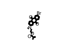 C=C(C)C(=O)OCCN(C)c1ccc2c(c1)C(=O)c1ccc(Br)cc1C2=O